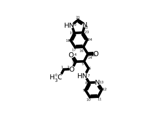 CCOC(=O)C(CNc1ccccn1)C(=O)c1ccc2[nH]cnc2c1